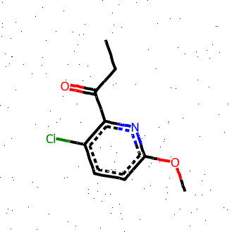 CCC(=O)c1nc(OC)ccc1Cl